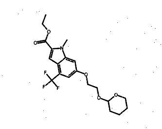 CCOC(=O)c1cc2c(C(F)(F)F)cc(OCCOC3CCCCO3)cc2n1C